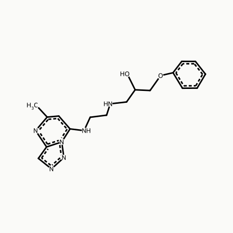 Cc1cc(NCCNCC(O)COc2ccccc2)n2nncc2n1